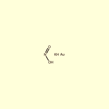 O=NO.[Au].[KH]